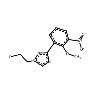 COc1c(-c2ncn(CCF)n2)cccc1[N+](=O)[O-]